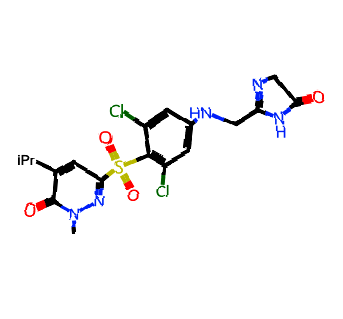 CC(C)c1cc(S(=O)(=O)c2c(Cl)cc(NCC3=NCC(=O)N3)cc2Cl)nn(C)c1=O